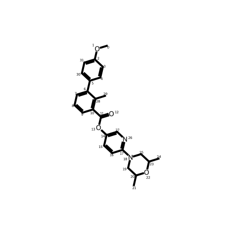 COc1ccc(-c2cccc(C(=O)Oc3ccc(N4CC(C)OC(C)C4)nc3)c2C)cc1